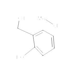 CCc1ccccc1O.[Mg+2][Cl]